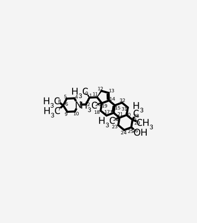 C[C@H](CN1CCC(C)(C)CC1)[C@H]1CC=C2C3=C(CC[C@@]21C)[C@@]1(C)CCC(O)C(C)(C)C1CC3